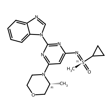 C[C@@H]1COCCN1c1cc(N=[S@@](C)(=O)C2CC2)nc(-n2cnc3ccccc32)n1